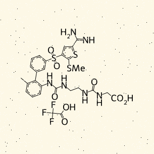 CSc1sc(C(=N)N)cc1S(=O)(=O)c1cccc(-c2c(C)cccc2NC(=O)NCCNC(=O)NCC(=O)O)c1.O=C(O)C(F)(F)F